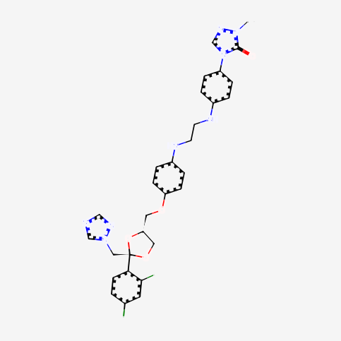 CCC(C)n1ncn(-c2ccc(NCCNc3ccc(OC[C@H]4CO[C@](Cn5cncn5)(c5ccc(Cl)cc5Cl)O4)cc3)cc2)c1=O